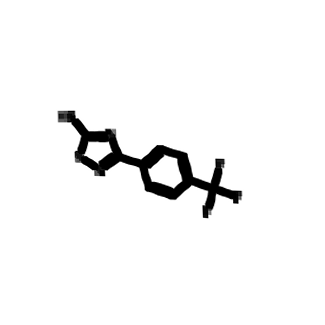 FC(F)(F)c1ccc(-c2nsc(S)n2)cc1